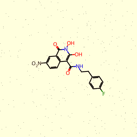 O=C(NCCc1ccc(F)cc1)c1c(O)n(O)c(=O)c2cc([N+](=O)[O-])ccc12